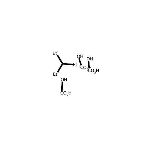 CCC(CC)CC.O=C(O)O.O=C(O)O.O=C(O)O